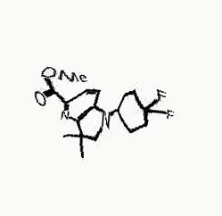 COC(=O)c1ccc2c(n1)C(C)(C)CN2C1CCC(F)(F)CC1